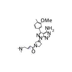 COc1cc(-c2nn([C@@H]3CCN(C(=O)/C=C/CN(C)C)C3)c3ncnc(N)c23)ccc1C